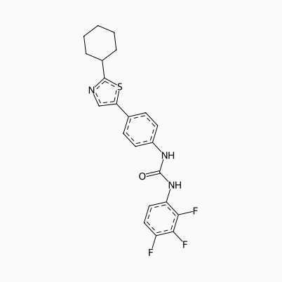 O=C(Nc1ccc(-c2cnc(C3CCCCC3)s2)cc1)Nc1ccc(F)c(F)c1F